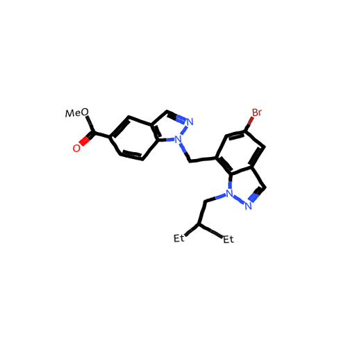 CCC(CC)Cn1ncc2cc(Br)cc(Cn3ncc4cc(C(=O)OC)ccc43)c21